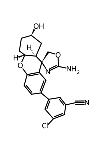 N#Cc1cc(Cl)cc(-c2ccc3c(c2)[C@]2(COC(N)=N2)[C@@H]2C[C@H](O)CC[C@H]2O3)c1